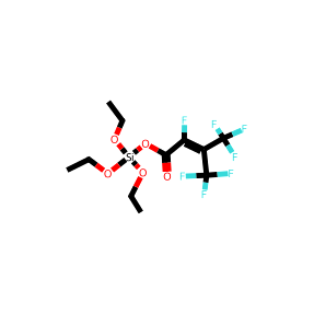 CCO[Si](OCC)(OCC)OC(=O)C(F)=C(C(F)(F)F)C(F)(F)F